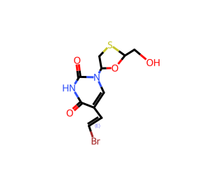 O=c1[nH]c(=O)n(C2CSC(CO)O2)cc1/C=C/Br